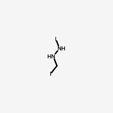 ICNNI